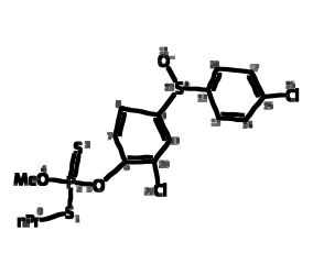 CCCSP(=S)(OC)Oc1ccc([S+]([O-])c2ccc(Cl)cc2)cc1Cl